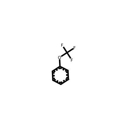 FC(F)(F)Oc1c[c]ccc1